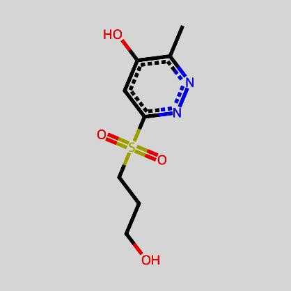 Cc1nnc(S(=O)(=O)CCCO)cc1O